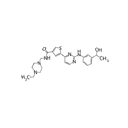 CCN1CCN(CNC(=O)c2csc(-c3ccnc(Nc4cccc(C(C)O)c4)n3)c2)CC1